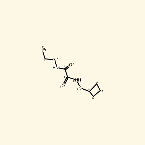 CC(C)CSNC(=O)C(=O)NSC1CCC1